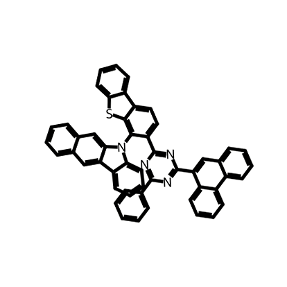 c1ccc(-c2nc(-c3ccc4c(sc5ccccc54)c3-n3c4ccccc4c4cc5ccccc5cc43)nc(-c3cc4ccccc4c4ccccc34)n2)cc1